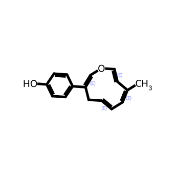 CC1=C/C=C/C/C(c2ccc(O)cc2)=C\O\C=C\1